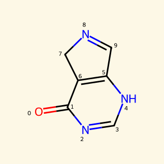 O=c1nc[nH]c2c1CN=C2